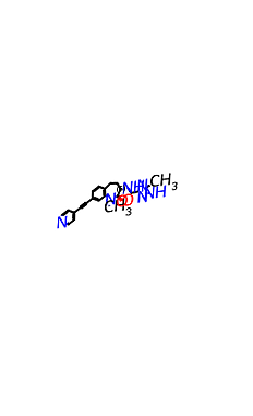 Cc1nc(C(=O)N[C@H]2CCc3ccc(C#Cc4ccncc4)cc3N(C)C2=O)n[nH]1